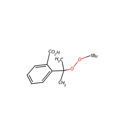 CC(C)(C)OOC(C)(C)c1ccccc1C(=O)O